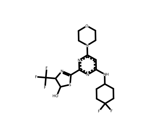 OC1SC(c2nc(NC3CCC(F)(F)CC3)cc(N3CCOCC3)n2)=NC1C(F)(F)F